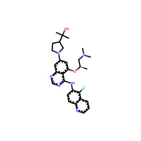 C[C@H](CN(C)C)Oc1cc(N2CCC(C(C)(C)O)C2)cc2ncnc(Nc3ccc4ncccc4c3F)c12